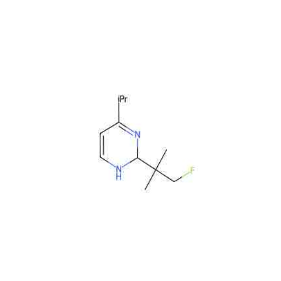 CC(C)C1=NC(C(C)(C)CF)NC=C1